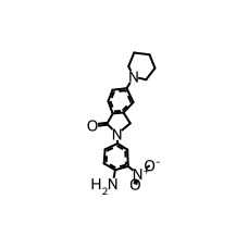 Nc1ccc(N2Cc3cc(N4CCCCC4)ccc3C2=O)cc1[N+](=O)[O-]